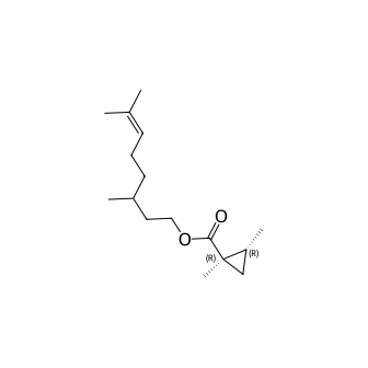 CC(C)=CCCC(C)CCOC(=O)[C@]1(C)C[C@H]1C